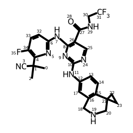 CC(C)(C#N)c1nc(Nc2nc(Nc3ccc4c(c3)CNCC43CC3)ncc2C(=O)NCC(F)(F)F)ccc1F